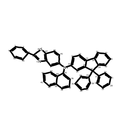 c1ccc(-c2nc3cc(N(c4ccc5c(c4)C(c4ccccc4)(c4ccccc4)c4ccccc4-5)c4cccc5ccccc45)ccc3s2)cc1